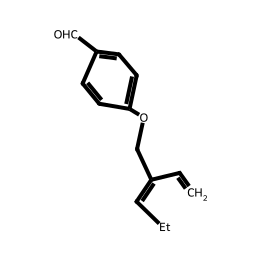 C=C/C(=C\CC)COc1ccc(C=O)cc1